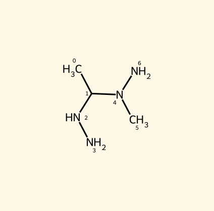 CC(NN)N(C)N